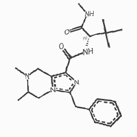 CNC(=O)[C@@H](NC(=O)c1nc(Cc2ccccc2)n2c1CN(C)C(C)C2)C(C)(C)C